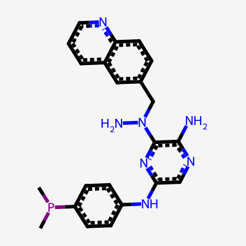 CP(C)c1ccc(Nc2cnc(N)c(N(N)Cc3ccc4ncccc4c3)n2)cc1